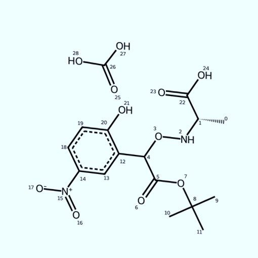 C[C@H](NOC(C(=O)OC(C)(C)C)c1cc([N+](=O)[O-])ccc1O)C(=O)O.O=C(O)O